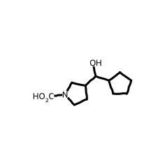 O=C(O)N1CCC(C(O)C2CCCC2)C1